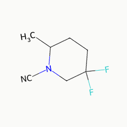 CC1CCC(F)(F)CN1C#N